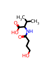 CC(C)C(NC(=O)CCCO)C(=O)O